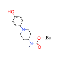 CN(C(=O)OC(C)(C)C)C1CCN(c2ccc(O)cc2)CC1